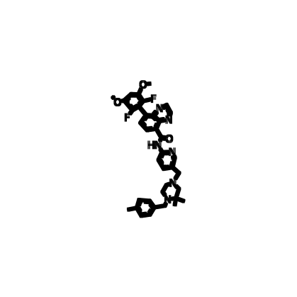 COc1cc(OC)c(F)c(-c2ccc(C(=O)Nc3ccc(CN4CCN(Cc5ccc(C)cc5)C(C)(C)C4)cn3)c3nccnc23)c1F